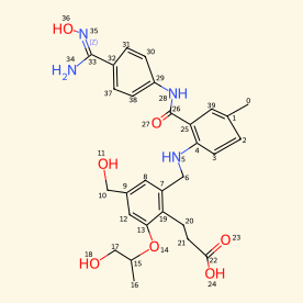 Cc1ccc(NCc2cc(CO)cc(OC(C)CO)c2CCC(=O)O)c(C(=O)Nc2ccc(/C(N)=N/O)cc2)c1